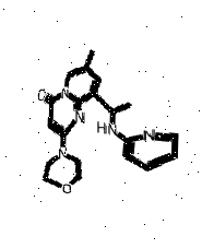 Cc1cc(C(C)Nc2ccccn2)c2nc(N3CCOCC3)cc(=O)n2c1